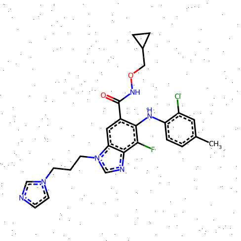 Cc1ccc(Nc2c(C(=O)NOCC3CC3)cc3c(ncn3CCCn3ccnc3)c2F)c(Cl)c1